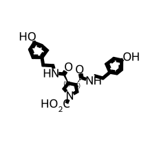 O=C(NCCc1ccc(O)cc1)[C@@H]1CN(C(=O)O)C[C@H]1C(=O)NCCc1ccc(O)cc1